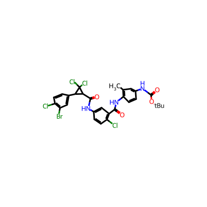 Cc1cc(NC(=O)OC(C)(C)C)ccc1NC(=O)c1cc(NC(=O)C2C(c3ccc(Cl)c(Br)c3)C2(Cl)Cl)ccc1Cl